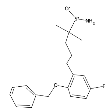 CC(C)(CCCc1cc(F)ccc1OCc1ccccc1)[S+](N)[O-]